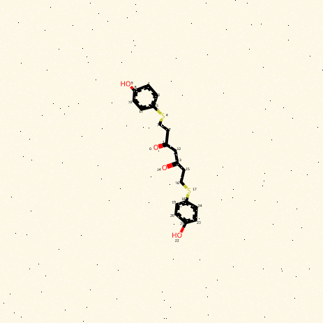 O=C(CCSc1ccc(O)cc1)CC(=O)CCSc1ccc(O)cc1